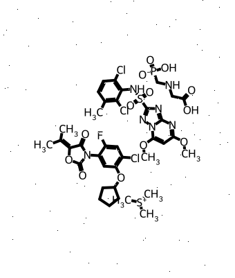 CC(C)=C1OC(=O)N(c2cc(OC3CCCC3)c(Cl)cc2F)C1=O.COc1cc(OC)n2nc(S(=O)(=O)Nc3c(Cl)ccc(C)c3Cl)nc2n1.C[S+](C)C.O=C(O)CNCP(=O)([O-])O